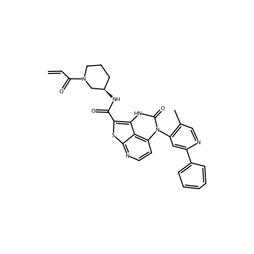 C=CC(=O)N1CCC[C@@H](NC(=O)c2sc3nccc4c3c2NC(=O)N4c2cc(-c3ccccc3)ncc2C)C1